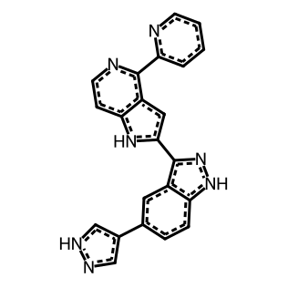 c1ccc(-c2nccc3[nH]c(-c4n[nH]c5ccc(-c6cn[nH]c6)cc45)cc23)nc1